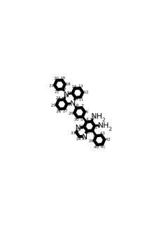 Nc1c(N)c(-c2ccc(N3c4ccccc4N(c4ccccc4)c4ccccc43)cc2)c2nccnc2c1-c1ccccc1